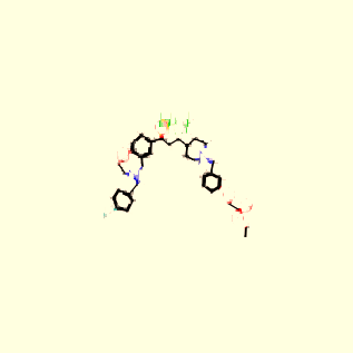 CCOC(=O)COc1cccc(CN2CCC(CCC(=O)c3ccc4c(c3)CN(Cc3ccc(F)cc3)CCO4)CC2)c1.Cl.Cl